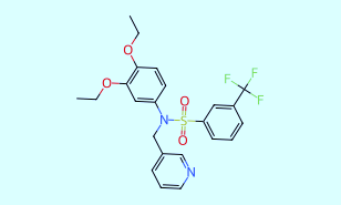 CCOc1ccc(N(Cc2cccnc2)S(=O)(=O)c2cccc(C(F)(F)F)c2)cc1OCC